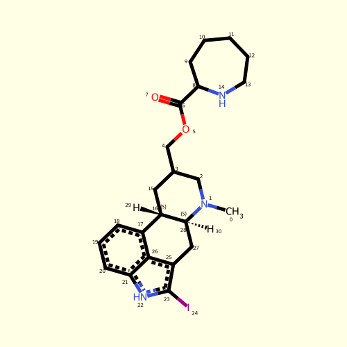 CN1CC(COC(=O)C2CCCCCN2)C[C@H]2c3cccc4[nH]c(I)c(c34)C[C@@H]21